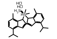 CC1=Cc2c(C(C)C)ccc(C)c2[CH]1[Hf]([CH3])([CH3])(=[SiH2])[CH]1C(C)=Cc2c(C(C)C)ccc(C)c21.Cl.Cl